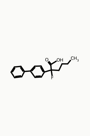 CCCCC(F)(C(=O)O)c1ccc(-c2ccccc2)cc1